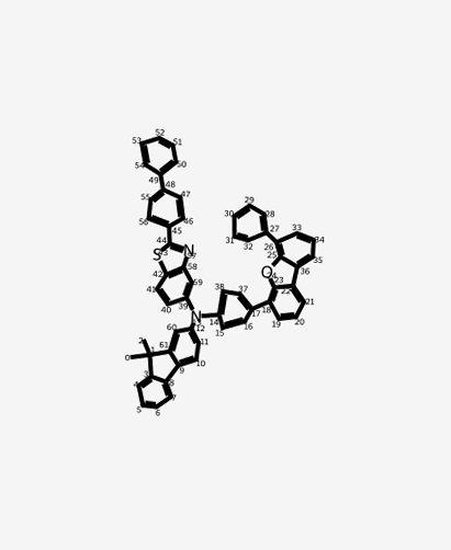 CC1(C)c2ccccc2-c2ccc(N(c3ccc(-c4cccc5c4oc4c(-c6ccccc6)cccc45)cc3)c3ccc4sc(-c5ccc(-c6ccccc6)cc5)nc4c3)cc21